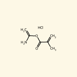 C=C(N)OC(=O)C(=C)C.Cl